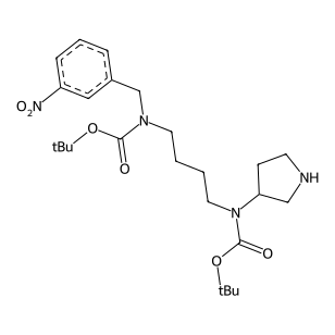 CC(C)(C)OC(=O)N(CCCCN(C(=O)OC(C)(C)C)C1CCNC1)Cc1cccc([N+](=O)[O-])c1